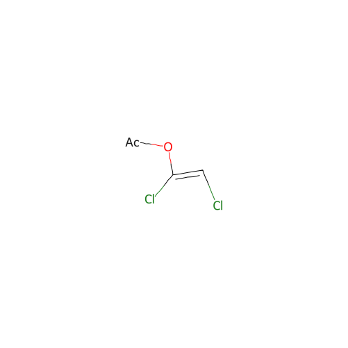 CC(=O)OC(Cl)=CCl